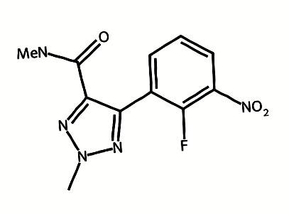 CNC(=O)c1nn(C)nc1-c1cccc([N+](=O)[O-])c1F